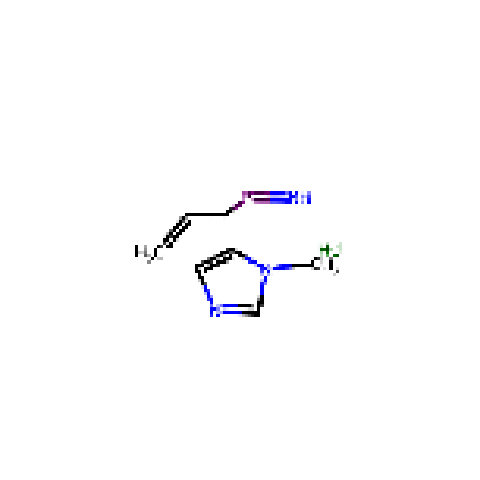 C=CCP=N.Cl.Cn1ccnc1